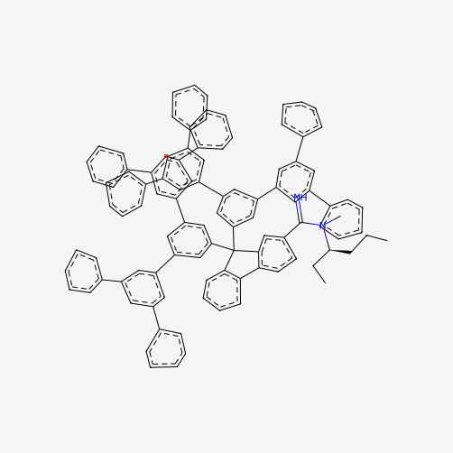 CCC[C@@H](CC)N(C)C(=N)c1ccc2c(c1)C(c1cc(-c3cc(-c4ccccc4)cc(-c4ccccc4)c3)cc(-c3cc(-c4ccccc4)cc(-c4ccccc4)c3)c1)(c1cc(-c3cc(-c4ccccc4)cc(-c4ccccc4)c3)cc(-c3cc(-c4ccccc4)cc(-c4ccccc4)c3)c1)c1ccccc1-2